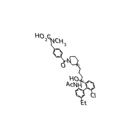 CCc1cccc(-c2c(Cl)cccc2[C@@](O)(CCC[C@@H]2CCCN(C(=O)c3ccc(CN(C)C(=O)O)cc3)C2)NC(C)=O)c1